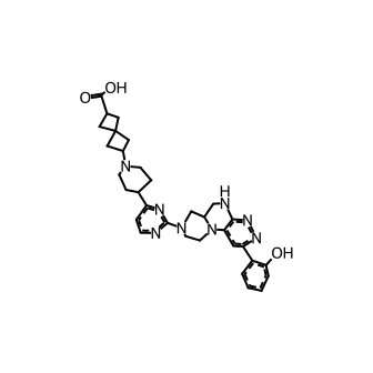 O=C(O)C1CC2(C1)CC(N1CCC(c3ccnc(N4CCN5c6cc(-c7ccccc7O)nnc6NCC5C4)n3)CC1)C2